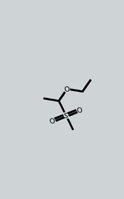 CCOC(C)S(C)(=O)=O